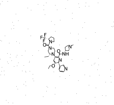 CCOc1cc(N2CCN(C(=O)N3CCC[C@H]3C(F)(F)F)C[C@H]2CC)c(C(=O)N[C@@H]2CCN(C)C2)nc1-c1cccnc1